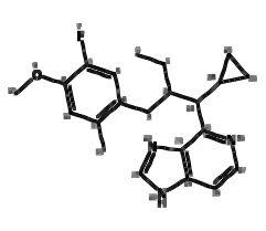 CCC(Cc1cc(F)c(OC)cc1C)C(c1nccc2[nH]cnc12)C1CC1